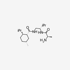 CC(C)[C@@H](CNC(=O)[C@@H]1C[C@H](C)CC[C@H]1C(C)C)NC(=O)[C@@H](C)N